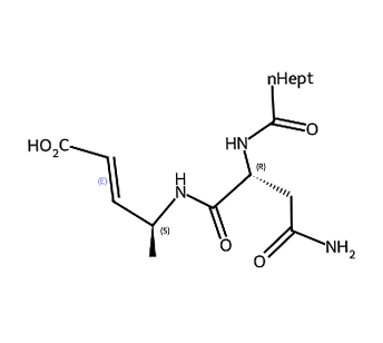 CCCCCCCC(=O)N[C@H](CC(N)=O)C(=O)N[C@@H](C)/C=C/C(=O)O